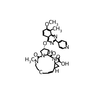 COc1ccc2c(O[C@@H]3C[C@H]4C(=O)N[C@]5(C(=O)O)C[C@H]5/C=C\CCCCN(C)C(=O)N4C3)nc(-c3ccncc3)nc2c1C